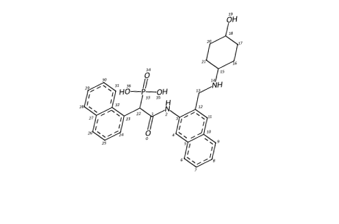 O=C(Nc1cc2ccccc2cc1CNC1CCC(O)CC1)C(c1cccc2ccccc12)P(=O)(O)O